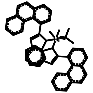 C[C](C)=[Hf]([CH3])([CH3])([CH]1C(c2cccc3ccc4ccccc4c23)=Cc2ccccc21)[CH]1C(c2cccc3ccc4ccccc4c23)=Cc2ccccc21